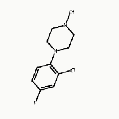 CCN1CCN(c2ccc(F)cc2Cl)CC1